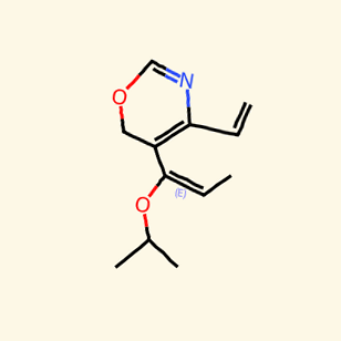 C=CC1=C(/C(=C\C)OC(C)C)COC=N1